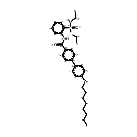 CCCCCCCCOc1ccc(-c2ccc(C(=O)Nc3ccccc3P(=O)(OCC)OCC)cc2)cc1